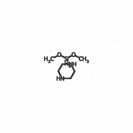 C1CNCCN1.CO[SiH2]OC